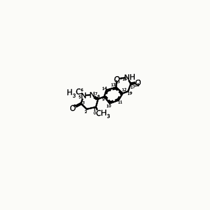 CC1CC(=O)N(C)N=C1c1ccc2c(c1)ONC(=O)C2